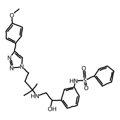 COc1ccc(-c2cn(CCC(C)(C)NCC(O)c3cccc(NS(=O)(=O)c4ccccc4)c3)nn2)cc1